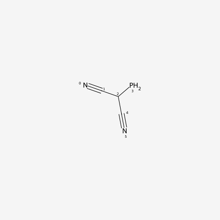 N#CC(P)C#N